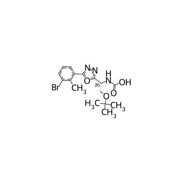 Cc1c(Br)cccc1-c1nnc([C@@H](COC(C)(C)C)NC(=O)O)o1